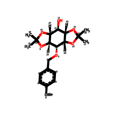 COc1ccc(CO[C@@H]2[C@H]3OC(C)(C)O[C@@H]3[C@@H](O)[C@@H]3OC(C)(C)O[C@H]23)cc1